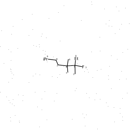 CCC(C)(F)C(C)(C)CCC(C)C